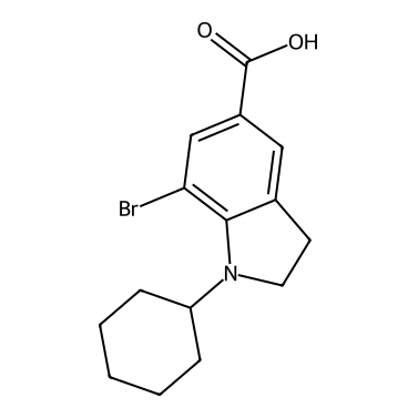 O=C(O)c1cc(Br)c2c(c1)CCN2C1CCCCC1